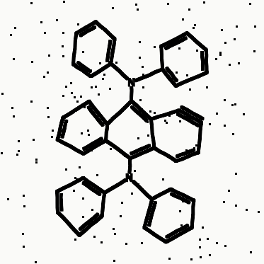 c1ccc2c(N(c3ccccc3)c3ccccc3)c3ccccc3c(N(c3ccccc3)c3ccccc3)c2c#1